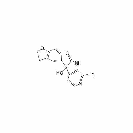 O=C1Nc2c(ccnc2C(F)(F)F)C1(O)c1ccc2c(c1)CCO2